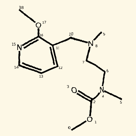 COC(=O)N(C)CCN(C)Cc1cccnc1OC